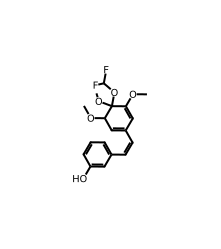 COC1=CC(/C=C\c2cccc(O)c2)=CC(OC)C1(OC)OC(F)F